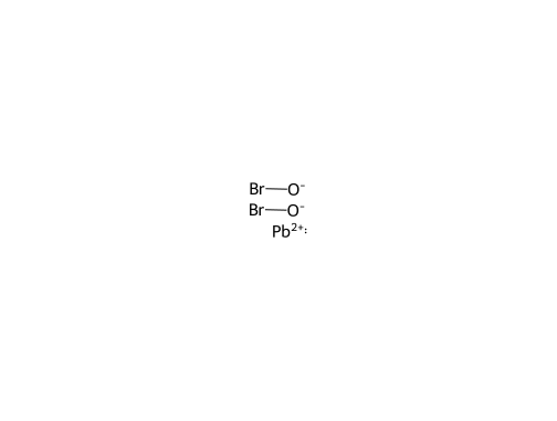 [O-]Br.[O-]Br.[Pb+2]